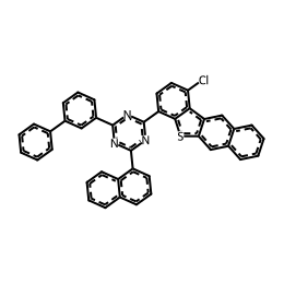 Clc1ccc(-c2nc(-c3cccc(-c4ccccc4)c3)nc(-c3cccc4ccccc34)n2)c2sc3cc4ccccc4cc3c12